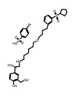 O=S(=O)(O)c1ccc(Br)cc1.O=S(=O)(c1cccc(CCCCOCCCCCCNC[C@H](O)c2ccc(O)c(CO)c2)c1)C1CCCC1